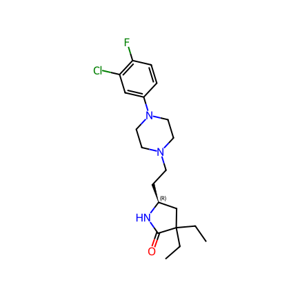 CCC1(CC)C[C@H](CCN2CCN(c3ccc(F)c(Cl)c3)CC2)NC1=O